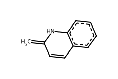 C=C1C=Cc2ccccc2N1